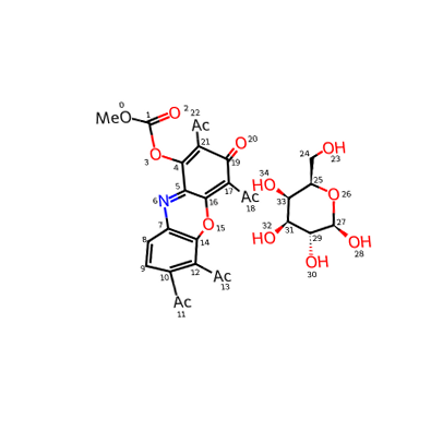 COC(=O)Oc1c2nc3ccc(C(C)=O)c(C(C)=O)c3oc-2c(C(C)=O)c(=O)c1C(C)=O.OC[C@H]1O[C@@H](O)[C@H](O)[C@@H](O)[C@H]1O